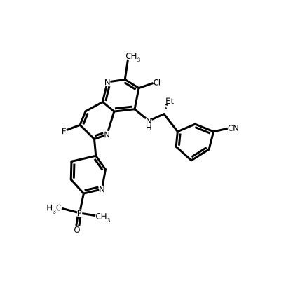 CC[C@@H](Nc1c(Cl)c(C)nc2cc(F)c(-c3ccc(P(C)(C)=O)nc3)nc12)c1cccc(C#N)c1